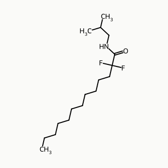 CCCCCCCCCCCC(F)(F)C(=O)NCC(C)C